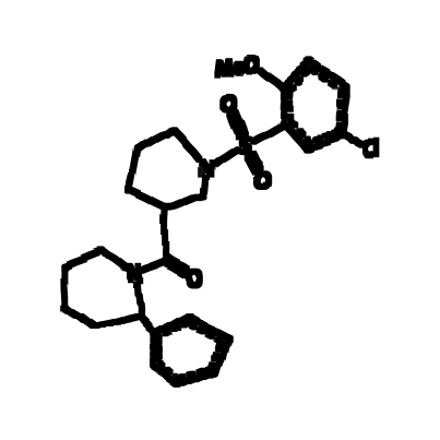 COc1ccc(Cl)cc1S(=O)(=O)N1CCCC(C(=O)N2CCCCC2c2ccccc2)C1